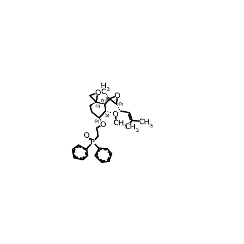 CO[C@@H]1[C@H](OCCP(=O)(c2ccccc2)c2ccccc2)CC[C@]2(CO2)[C@H]1[C@@]1(C)O[C@@H]1CC=C(C)C